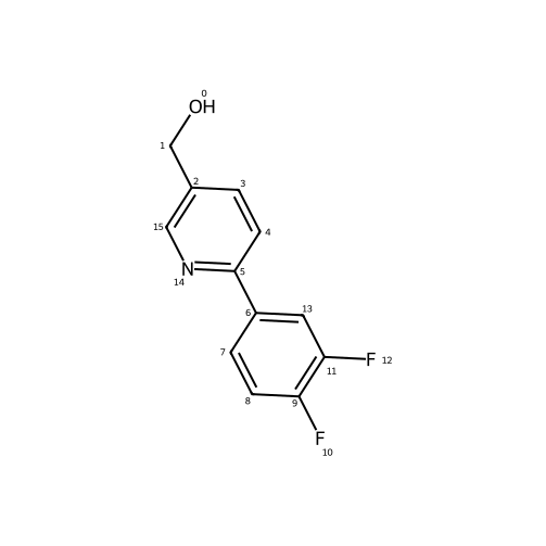 OCc1ccc(-c2ccc(F)c(F)c2)nc1